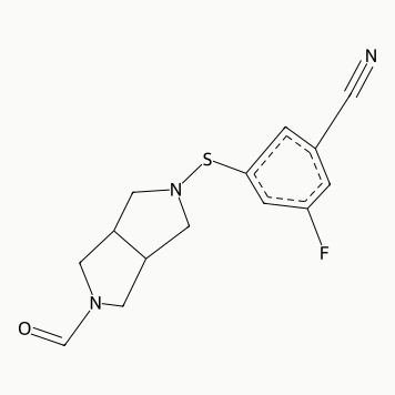 N#Cc1cc(F)cc(SN2CC3CN(C=O)CC3C2)c1